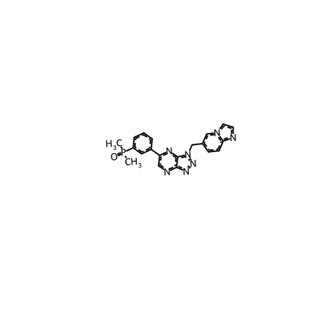 CP(C)(=O)c1cccc(-c2cnc3nnn(Cc4ccc5nccn5c4)c3n2)c1